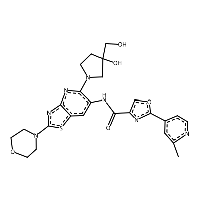 Cc1cc(-c2nc(C(=O)Nc3cc4sc(N5CCOCC5)nc4nc3N3CCC(O)(CO)C3)co2)ccn1